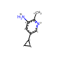 Cc1ncc(C2CC2)cc1N